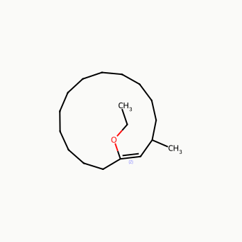 CCO/C1=C\C(C)CCCCCCCCCCCC1